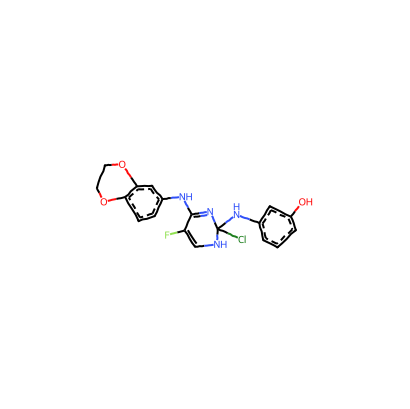 Oc1cccc(NC2(Cl)N=C(Nc3ccc4c(c3)OCCO4)C(F)=CN2)c1